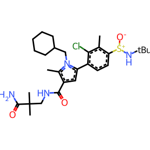 Cc1c([S+]([O-])NC(C)(C)C)ccc(-c2cc(C(=O)NCC(C)(C)C(N)=O)c(C)n2CC2CCCCC2)c1Cl